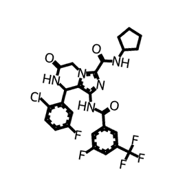 O=C1Cn2c(C(=O)NC3CCCC3)nc(NC(=O)c3cc(F)cc(C(F)(F)F)c3)c2C(c2cc(F)ccc2Cl)N1